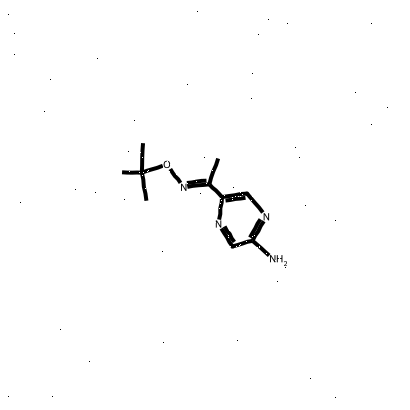 CC(=NOC(C)(C)C)c1cnc(N)cn1